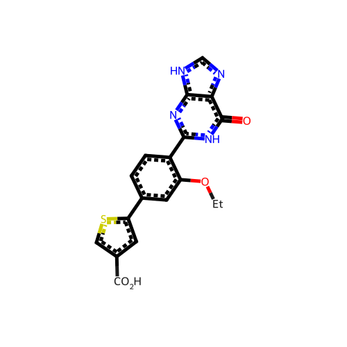 CCOc1cc(-c2cc(C(=O)O)cs2)ccc1-c1nc2[nH]cnc2c(=O)[nH]1